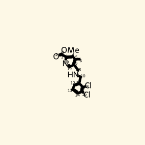 COC(=O)c1cc(C)c(CNCc2cccc(Cl)c2Cl)cn1